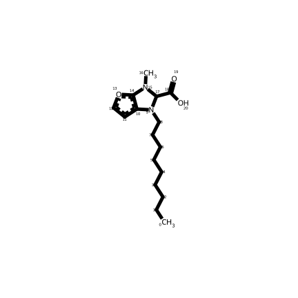 CCCCCCCCCN1c2ccoc2N(C)C1C(=O)O